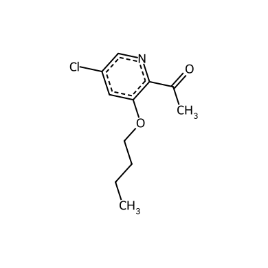 CCCCOc1cc(Cl)cnc1C(C)=O